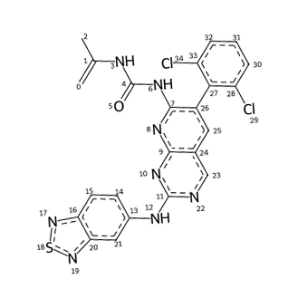 C=C(C)NC(=O)Nc1nc2nc(Nc3ccc4nsnc4c3)ncc2cc1-c1c(Cl)cccc1Cl